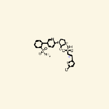 NS(=O)(=O)c1ccccc1-c1ccc(N2CC[C@H](NS(=O)(=O)/C=C/c3ccc(Cl)s3)C2=O)nc1